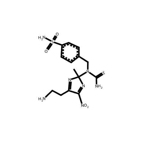 CC1(N(Cc2ccc(S(N)(=O)=O)cc2)C(N)=S)N=C(CCN)C([N+](=O)[O-])=N1